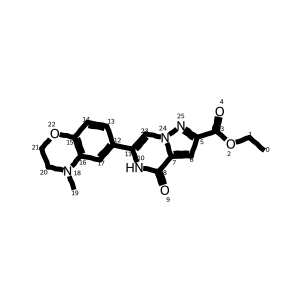 CCOC(=O)c1cc2c(=O)[nH]c(-c3ccc4c(c3)N(C)CCO4)cn2n1